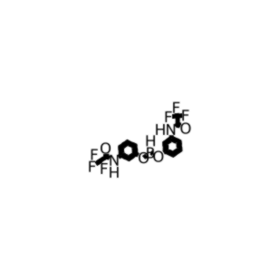 O=C(Nc1cccc(OBOc2cccc(NC(=O)C(F)(F)F)c2)c1)C(F)(F)F